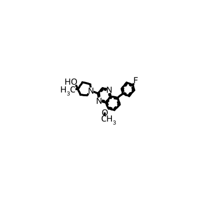 COc1ccc(-c2ccc(F)cc2)c2ncc(N3CCC(C)(O)CC3)nc12